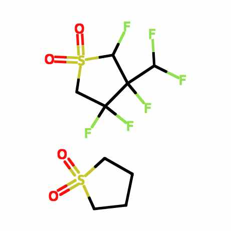 O=S1(=O)CC(F)(F)C(F)(C(F)F)C1F.O=S1(=O)CCCC1